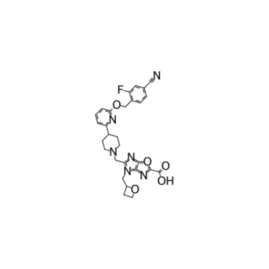 N#Cc1ccc(COc2cccc(C3CCN(Cc4nc5oc(C(=O)O)nc5n4CC4CCO4)CC3)n2)c(F)c1